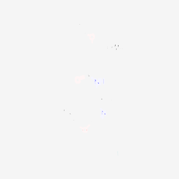 COc1cc(C(=O)NCC2(c3cc4c(c(-c5ccc(F)cc5)n3)OC[C@H]4C)CC2)ccc1OC1CC1